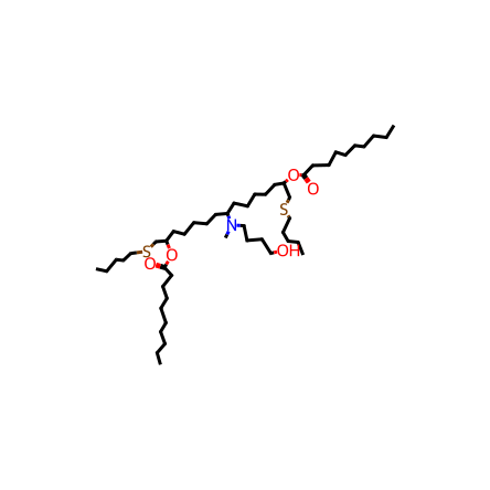 CCCCCCCCCC(=O)OC(CCCCCC(CCCCCC(CSCCCCC)OC(=O)CCCCCCCCC)N(C)CCCCO)CSCCCCC